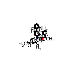 C=CC(=O)N1CCN(c2nc(=O)n(-c3c(C)ccnc3C(C)C)c3nc(-c4c(N)cccc4F)c(F)cc23)C(C)C1